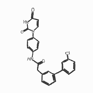 O=C(Cc1cccc(-c2cccc(Cl)c2)c1)Nc1ccc(-n2ccc(=O)[nH]c2=O)cc1